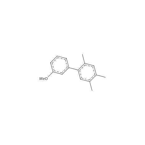 COc1cccc(-c2cc(C)c(C)cc2C)c1